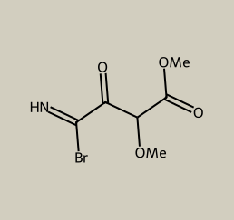 COC(=O)C(OC)C(=O)C(=N)Br